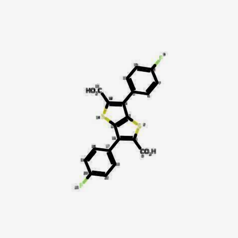 O=C(O)c1sc2c(-c3ccc(F)cc3)c(C(=O)O)sc2c1-c1ccc(F)cc1